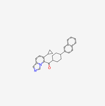 O=C(c1c(C2CC2)ccc2cncn12)C1CCC(c2ccc3ccccc3c2)CC1